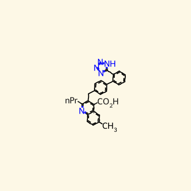 CCCc1nc2ccc(C)cc2c(C(=O)O)c1Cc1ccc(-c2ccccc2-c2nnn[nH]2)cc1